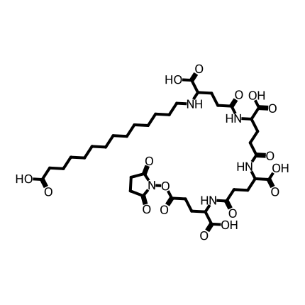 O=C(O)CCCCCCCCCCCCCNC(CCC(=O)NC(CCC(=O)NC(CCC(=O)NC(CCC(=O)ON1C(=O)CCC1=O)C(=O)O)C(=O)O)C(=O)O)C(=O)O